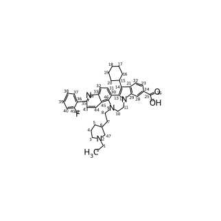 CCN1CCCC(CCN2CCn3c(c(C4CCCCC4)c4ccc(C(=O)O)cc43)-c3ccc4nc(-c5ccccc5F)ccc4c32)C1